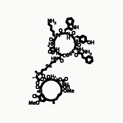 COc1cc2cc(c1Cl)N(C)C(=O)C[C@H](OC(=O)[C@H](C)N(C)C(=O)CCSSCCNC(=O)[C@@H]1CSSC[C@H](NC(=O)[C@H](N)Cc3ccccc3)C(=O)N[C@@H](Cc3ccc(O)cc3)C(=O)N[C@H](Cc3c[nH]c4ccccc34)C(=O)N[C@@H](CCCCCN)C(=O)N[C@@H]([C@@H](C)O)C(=O)N1)[C@]1(C)O[C@H]1[C@H](C)[C@@H]1C[C@@](O)(NC(=O)O1)[C@H](OC)/C=C/CC(C)C2